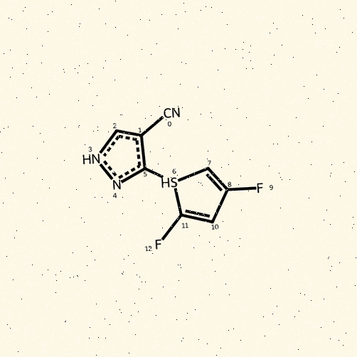 N#Cc1c[nH]nc1[SH]1C=C(F)C=C1F